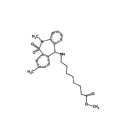 COC(=O)CCCCCCCNC1c2ccccc2N(C)S(=O)(=O)c2cc(C)ccc21